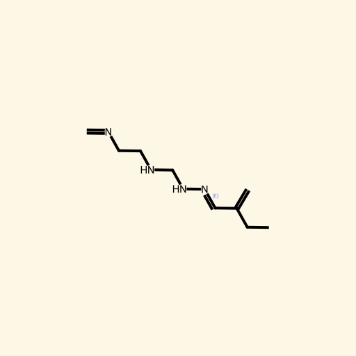 C=NCCNCN/N=C/C(=C)CC